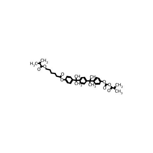 C=C(C)C(=O)OCCCCCC(=O)Oc1ccc(C(C)(C)c2ccc(C(C)(C)c3ccc(OC(=O)OC(=O)C(=C)C)cc3)cc2)cc1